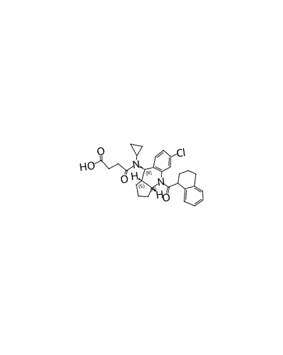 O=C(O)CCC(=O)N(C1CC1)[C@H]1c2ccc(Cl)cc2N(C(=O)C2CCCc3ccccc32)[C@@H]2CCC[C@@H]21